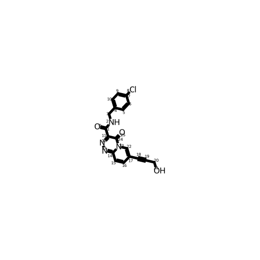 O=C(NCc1ccc(Cl)cc1)c1nnc2ccc(C#CCO)cn2c1=O